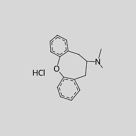 CN(C)C1Cc2ccccc2Oc2ccccc2C1.Cl